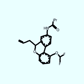 C=CCC1Oc2cccc(OC(F)F)c2-c2ccc(NC(=O)C(C)C)cc21